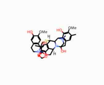 COc1cc2c(cc1O)CCN[C@]21CS[C@@H]2c3c(O)c(C)c4c(c3[C@H](COC1=O)N1C2C2c3c(cc(C)c(OC)c3O)CC1(O)CN2C)OCO4